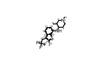 CC1CN(C)CCC1Nc1cccc2c(CC(F)(F)F)c(I)sc12